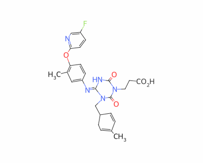 CC1=CCC(Cn2c(=O)n(CCC(=O)O)c(=O)[nH]/c2=N\c2ccc(Oc3ccc(F)cn3)c(C)c2)C=C1